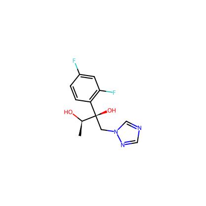 C[C@@H](O)[C@@](O)(Cn1cncn1)c1ccc(F)cc1F